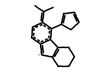 CC(C)=c1ccc2c(c1C1=CC=CC1)C1=C([C]=2)CCCC1